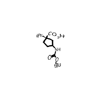 CC(C)[C@]1(C(=O)O)CCC(NC(=O)OC(C)(C)C)C1